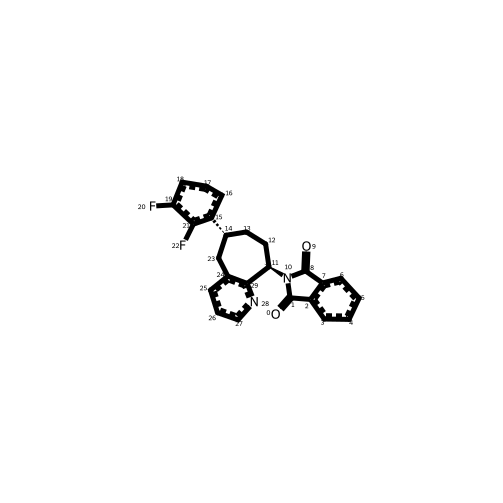 O=C1c2ccccc2C(=O)N1[C@@H]1CC[C@@H](c2cccc(F)c2F)Cc2cccnc21